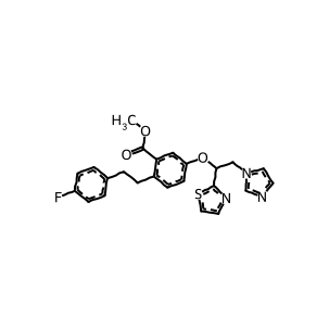 COC(=O)c1cc(OC(Cn2ccnc2)c2nccs2)ccc1CCc1ccc(F)cc1